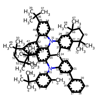 Cc1ccc(C(C)(C)C)cc1N1c2cc(-c3ccccc3)ccc2B2c3cc4c(cc3N(c3ccc(C(C)(C)C)cc3-c3ccc5c(c3)C(C)(C)CCC5(C)C)c3cc(C(C)(C)C)cc1c32)C(C)(C)CCC4(C)C